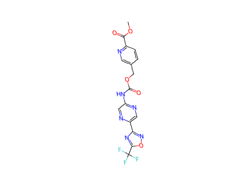 COC(=O)c1ccc(COC(=O)Nc2cnc(-c3noc(C(F)(F)F)n3)cn2)cn1